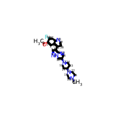 COc1cc2c(-c3cnn4cc(N5CCC(N6CCN(C)CC6)CC5)cnc34)ccnc2cc1F